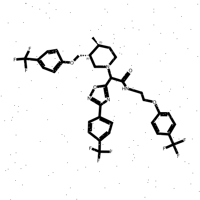 C[C@H]1CCN(C(C(=O)NCCOc2ccc(C(F)(F)F)cc2)c2nc(-c3ccc(C(F)(F)F)cc3)no2)C[C@@H]1COc1ccc(C(F)(F)F)cc1